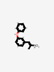 CC(=Cc1cccc(Oc2ccccc2)c1)[N+](=O)[O-]